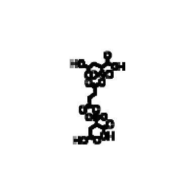 O=C(O)CC(C(=O)O)S(=O)(=O)OC(=O)CCC(=O)OS(=O)(=O)C(CC(=O)O)C(=O)O